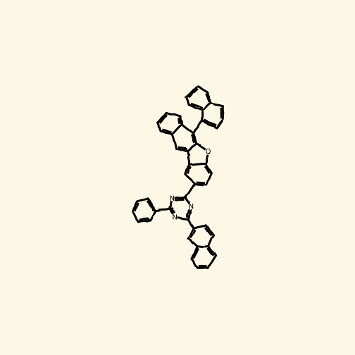 c1ccc(-c2nc(-c3ccc4ccccc4c3)nc(-c3ccc4oc5c(-c6cccc7ccccc67)c6ccccc6cc5c4c3)n2)cc1